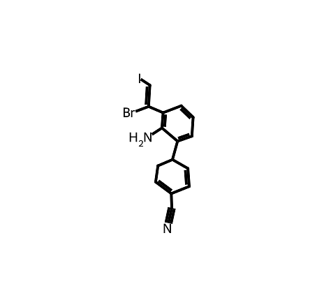 N#CC1=CCC(c2cccc(/C(Br)=C/I)c2N)C=C1